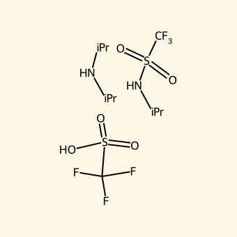 CC(C)NC(C)C.CC(C)NS(=O)(=O)C(F)(F)F.O=S(=O)(O)C(F)(F)F